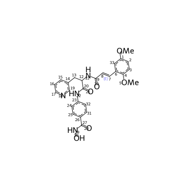 COc1ccc(OC)c(/C=C/C(=O)NC(Cc2cccnc2)C(=O)Nc2ccc(C(=O)NO)cc2)c1